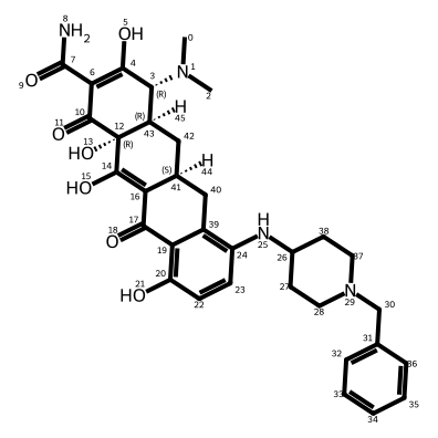 CN(C)[C@H]1C(O)=C(C(N)=O)C(=O)[C@]2(O)C(O)=C3C(=O)c4c(O)ccc(NC5CCN(Cc6ccccc6)CC5)c4C[C@@H]3C[C@H]12